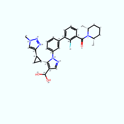 C[C@@H]1CCC[C@H](C)N1C(=O)c1cccc(-c2cccc(-n3ncc(C(O)O)c3[C@@H]3C[C@H]3c3cn(C)nn3)c2)c1F